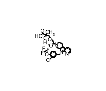 CC(C)(COCC(=O)N1CCc2c(n(Cc3ccc(OC(F)(F)F)c(Cl)c3)c3ncccc23)C1)C(=O)O